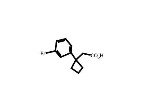 O=C(O)CC1(c2cccc(Br)c2)CCC1